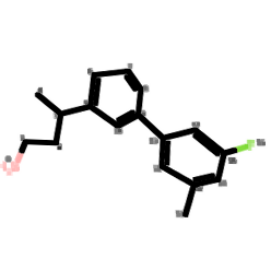 BCCC(C)c1cccc(-c2cc(C)cc(F)c2)c1